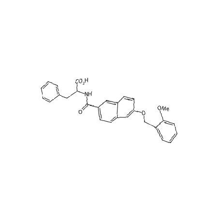 COc1ccccc1COc1ccc2cc(C(=O)NC(Cc3ccccc3)C(=O)O)ccc2c1